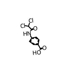 O=C(O)c1ccc(NC(=O)C(Cl)Cl)cc1